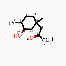 CC(C)C1CCC(C)(CC(=O)C(=O)O)CC1O